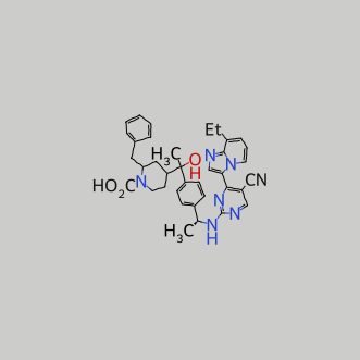 CCc1cccn2c(-c3nc(N[C@@H](C)c4ccc(C(C)(O)C5CCN(C(=O)O)C(Cc6ccccc6)C5)cc4)ncc3C#N)cnc12